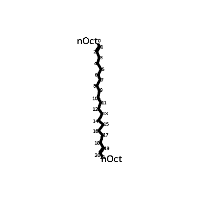 CCCCCCCCC=CCCCCCCC[CH]CCCCCCCCC=CCCCCCCCC